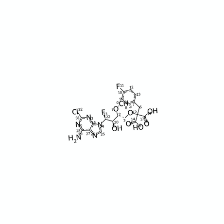 CO[C@H](COC(Cc1ccc(F)cc1)(C(=O)O)C(=O)O)[C@@H](O)[C@H](F)n1cnc2c(N)nc(Cl)nc21